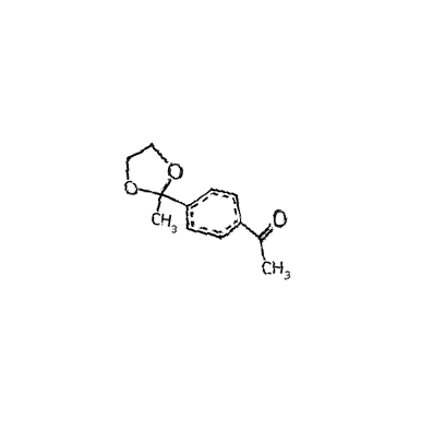 CC(=O)c1ccc(C2(C)OCCO2)cc1